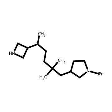 CC(CCC(C)(C)CC1CCN(C(C)C)C1)C1CNC1